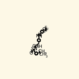 CC(C)c1cccc(N2C(=O)CS/C2=N\C(=O)NCCc2ccc(-c3ncn(-c4ccc(OC(F)(F)F)cc4)n3)cc2)c1